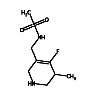 CC1CNCC(CNS(C)(=O)=O)=C1F